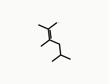 [CH2]C(C)=C(C)CC(C)C